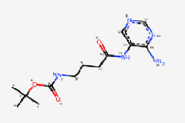 CC(C)(C)OC(=O)NCCCC(=O)Nc1cncnc1N